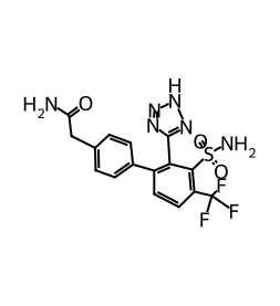 NC(=O)Cc1ccc(-c2ccc(C(F)(F)F)c(S(N)(=O)=O)c2-c2nn[nH]n2)cc1